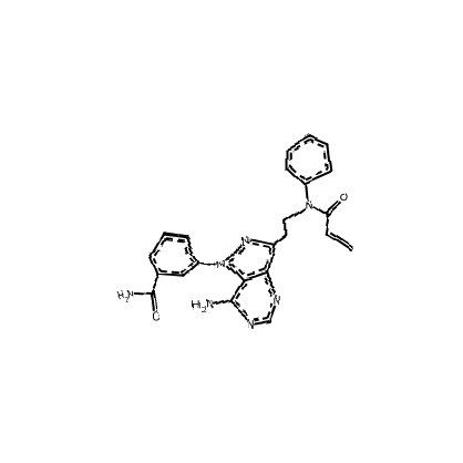 C=CC(=O)N(CCc1nn(-c2cccc(C(N)=O)c2)c2c(N)ncnc12)c1ccccc1